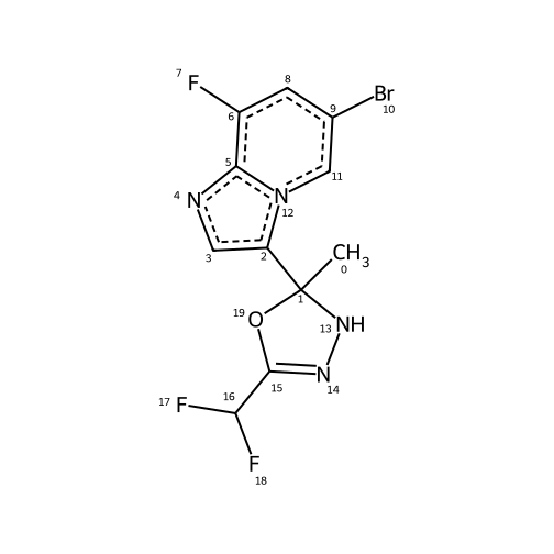 CC1(c2cnc3c(F)cc(Br)cn23)NN=C(C(F)F)O1